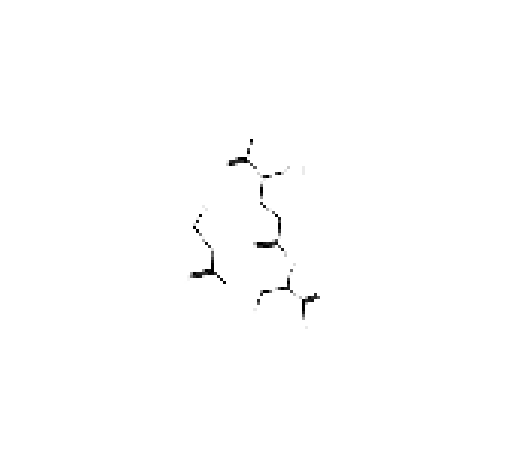 NC(CCC(=O)NC(CS)C(=O)O)C(=O)O.NCCC(=O)O